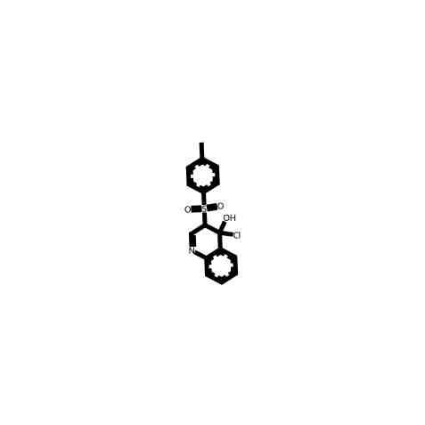 Cc1ccc(S(=O)(=O)C2C=Nc3ccccc3C2(O)Cl)cc1